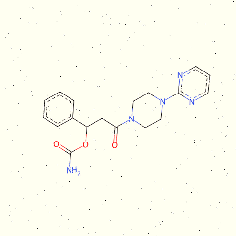 NC(=O)OC(CC(=O)N1CCN(c2ncccn2)CC1)c1ccccc1